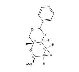 CO[C@H]1O[C@@H]2COC(c3ccccc3)O[C@H]2[C@H]2O[C@@H]12